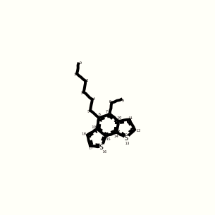 CCCCCCc1c(CC)c2ccsc2c2sccc12